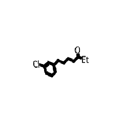 CCC(=O)CCCCc1cccc(Cl)c1